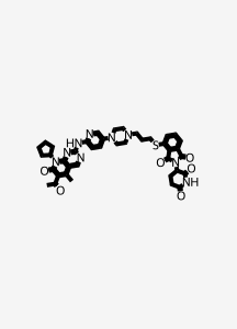 CC(=O)c1c(C)c2cnc(Nc3ccc(N4CCN(CCCSc5cccc6c5C(=O)N(C5CCC(=O)NC5=O)C6=O)CC4)cn3)nc2n(C2CCCC2)c1=O